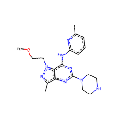 CCOCCn1nc(C)c2nc(N3CCNCC3)nc(Nc3cccc(C)n3)c21